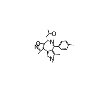 CC(=O)C[C@@H]1N=C(c2ccc(C)cc2)c2c(cn(C)c2C)-c2c(C)noc21